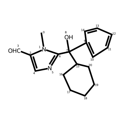 Cn1c(C=O)cnc1C(O)(c1ccccc1)C1CCCCC1